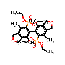 CCOP(=O)(OCC)c1c(C)c2c(c(C)c1-c1c(C)c3c(c(C)c1P(=O)(OCC)OCC)COC3)COC2